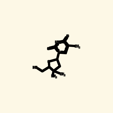 Cc1cn(C2CC(C)(N)C(CO)O2)c(=O)[nH]c1=O